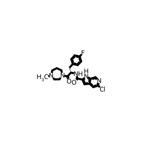 CN1CCCN(C(=O)[C@H](Cc2ccc(F)cc2)NC(=O)c2cc3cc(Cl)ncc3[nH]2)CC1